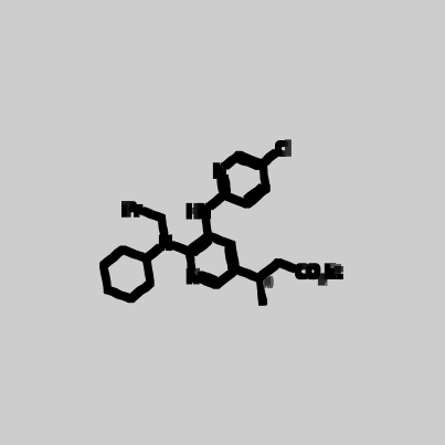 CCOC(=O)C[C@@H](C)c1cnc(N(CC(C)C)C2CCCCC2)c(Nc2ccc(Cl)cn2)c1